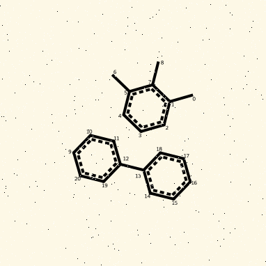 Cc1cccc(C)c1C.c1ccc(-c2ccccc2)cc1